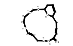 O=C1/C=C/CC2C=CCC(CCCCCC/C=C/CCO1)O2